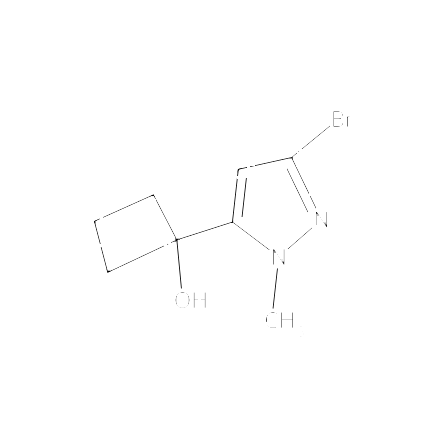 Cn1nc(Br)cc1C1(O)CCC1